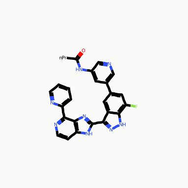 CCCC(=O)Nc1cncc(-c2cc(F)c3[nH]nc(-c4nc5c(-c6ccccn6)nccc5[nH]4)c3c2)c1